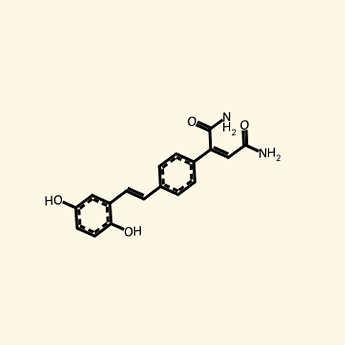 NC(=O)C=C(C(N)=O)c1ccc(C=Cc2cc(O)ccc2O)cc1